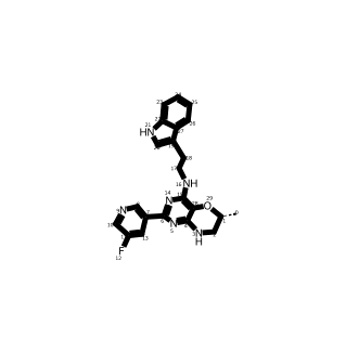 C[C@@H]1CNc2nc(-c3cncc(F)c3)nc(NCCc3c[nH]c4ccccc34)c2O1